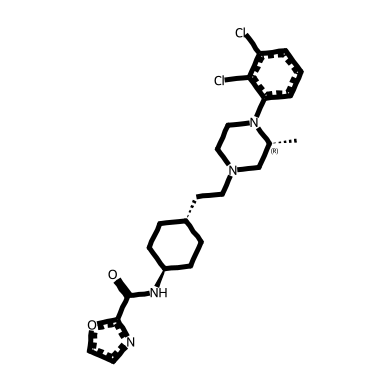 C[C@@H]1CN(CC[C@H]2CC[C@H](NC(=O)c3ncco3)CC2)CCN1c1cccc(Cl)c1Cl